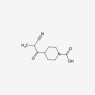 CC(C#N)C(=O)C1CCN(C(=O)O)CC1